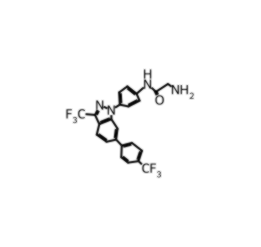 NCC(=O)Nc1ccc(-n2nc(C(F)(F)F)c3ccc(-c4ccc(C(F)(F)F)cc4)cc32)cc1